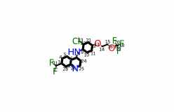 FC(F)c1ccc2c(Nc3ccc(OCCOC(F)(F)F)cc3Cl)ccnc2c1